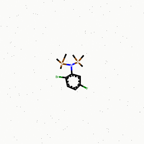 CS(C)(C)N(c1cc(F)ccc1Br)S(C)(C)C